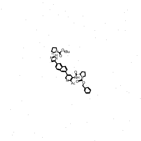 CC(=O)c1ncc(-c2ccc3cc(-c4cnc([C@@H]5CCCN5C(=O)OC(C)(C)C)[nH]4)ccc3c2)cc1NC(=O)[C@@H]1CCCN1C(=O)OCc1ccccc1